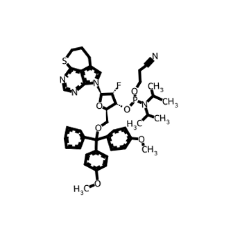 COc1ccc(C(OC[C@H]2O[C@@H](n3cc4c5c(ncnc53)SCCC4)[C@H](F)[C@@H]2OP(OCCC#N)N(C(C)C)C(C)C)(c2ccccc2)c2ccc(OC)cc2)cc1